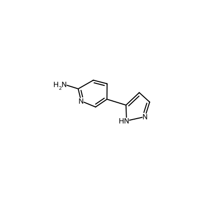 Nc1ccc(-c2ccn[nH]2)cn1